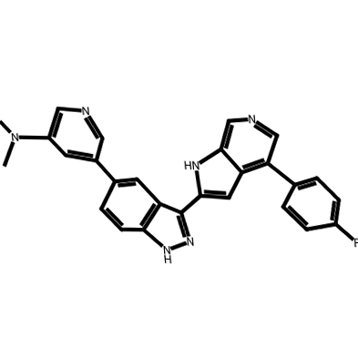 CN(C)c1cncc(-c2ccc3[nH]nc(-c4cc5c(-c6ccc(F)cc6)cncc5[nH]4)c3c2)c1